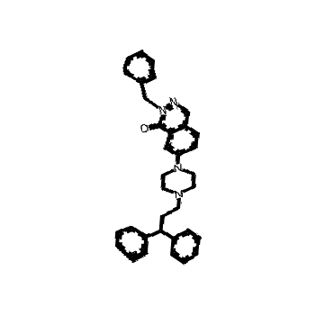 O=c1c2cc(N3CCN(CCC(c4ccccc4)c4ccccc4)CC3)ccc2cnn1Cc1ccccc1